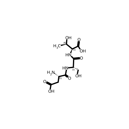 C[C@@H](O)[C@H](NC(=O)[C@H](CO)NC(=O)[C@@H](N)CC(=O)O)C(=O)O